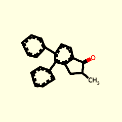 CC1Cc2c(ccc(-c3ccccc3)c2-c2ccccc2)C1=O